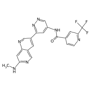 CNc1cc2ncc(-c3cc(NC(=O)c4ccnc(C(F)(F)F)c4)cnn3)cc2cn1